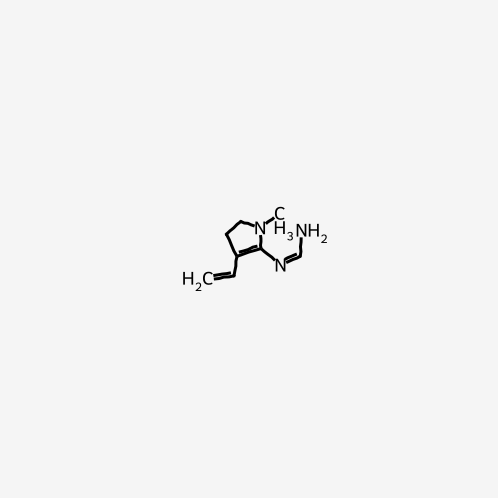 C=CC1=C(/N=C\N)N(C)CC1